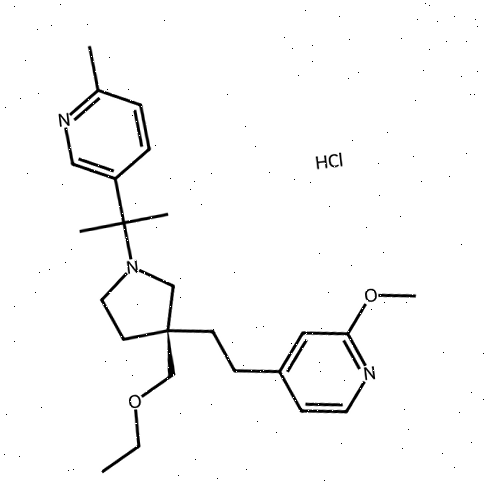 CCOC[C@@]1(CCc2ccnc(OC)c2)CCN(C(C)(C)c2ccc(C)nc2)C1.Cl